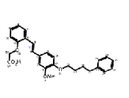 COc1cc(/C=C/c2ccccc2OCC(=O)O)ccc1OCCCCc1ccccc1